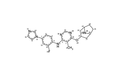 Cc1c(Nc2ccc(-n3ccnc3)cc2F)ncnc1OC1CC2CCC(C1)N2